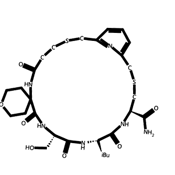 CC[C@H](C)[C@@H]1NC(=O)[C@H](CO)NC(=O)C2(CCOCC2)NC(=O)CCSCc2cccc(n2)CSC[C@@H](C(N)=O)NC1=O